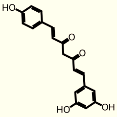 O=C(/C=C/c1ccc(O)cc1)CC(=O)/C=C/c1cc(O)cc(O)c1